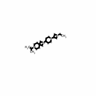 CCN1CC(N2CCC(N3CC4(CCN(C(C)C)CC4)C3)CC2)C1